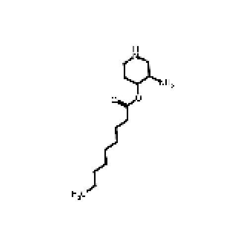 CCCCCCCCC(=O)OC1CCNCC1N